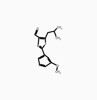 COc1cccc(-c2nc(C=O)c(CC(C)C)s2)c1